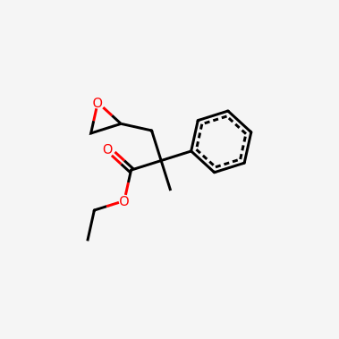 CCOC(=O)C(C)(CC1CO1)c1ccccc1